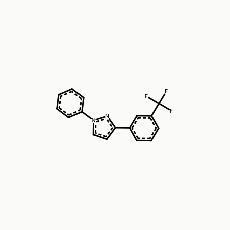 FC(F)(F)c1cccc(-c2ccn(-c3ccccc3)n2)c1